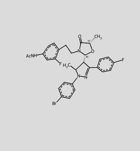 CC(=O)Nc1ccc(CCN2C(=O)[C@H](C)O[C@@H]2C2C(c3ccc(F)cc3)=NN(c3ccc(Br)cc3)C2C)c(F)c1